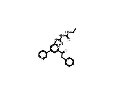 CCNC(=O)Nc1nc2cc(-c3cccnc3)cc(C(=O)Cc3ccccc3)n2n1